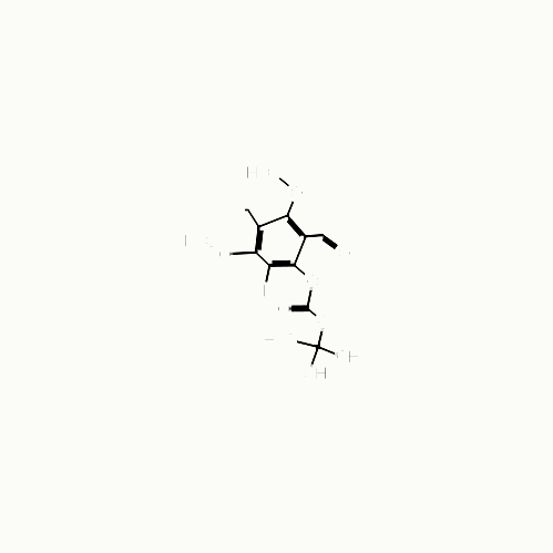 COc1c(I)c(OC)c(C=O)c(OC(=O)OC(C)(C)C)c1I